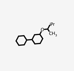 CC(C)C(C)OC1CCCC(C2CCCCC2)C1